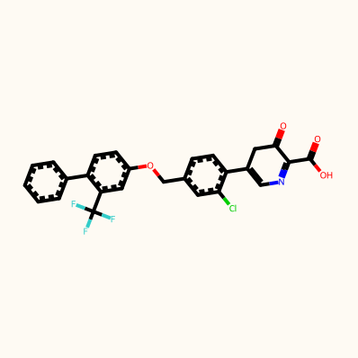 O=C(O)C1=NC=C(c2ccc(COc3ccc(-c4ccccc4)c(C(F)(F)F)c3)cc2Cl)CC1=O